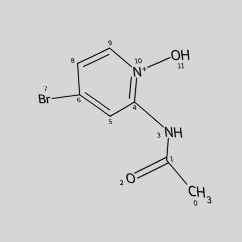 CC(=O)Nc1cc(Br)cc[n+]1O